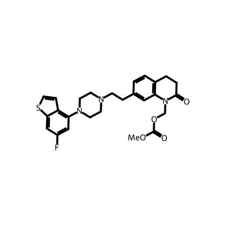 COC(=O)OCN1C(=O)CCc2ccc(CCN3CCN(c4cc(F)cc5sccc45)CC3)cc21